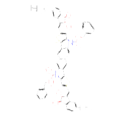 Cc1ccc2c(c1)/C(=C/c1cc3c(s1)c1c(n3C(=O)OCc3ccccc3)=CC3C=c4c(n(C(=O)OCc5ccccc5)c5cc(/C=C6\C(=O)C(=O)c7ccc(C(F)(F)F)cc76)sc45)=CC3C=1)C(=O)C2=O